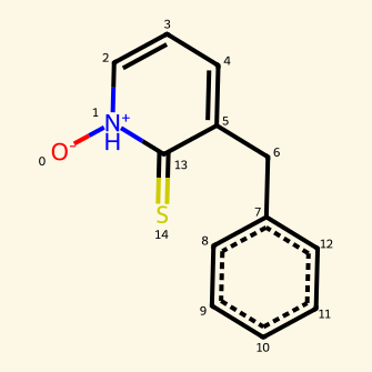 [O-][NH+]1C=CC=C(Cc2ccccc2)C1=S